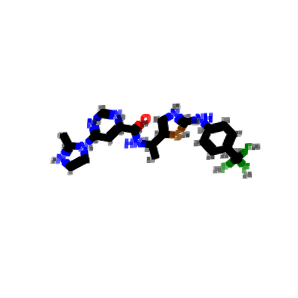 Cc1nccn1-c1cc(C(=O)NC(C)c2cnc(Nc3ccc(C(F)(F)F)cc3)s2)ncn1